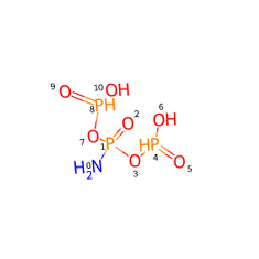 NP(=O)(O[PH](=O)O)O[PH](=O)O